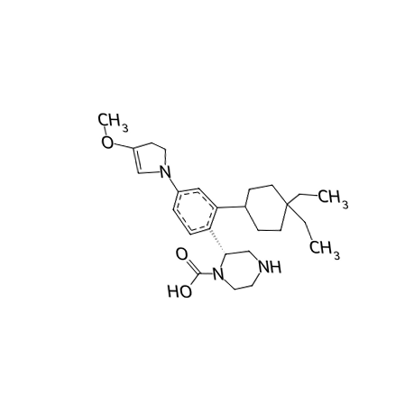 CCC1(CC)CCC(c2cc(N3C=C(OC)CC3)ccc2[C@@H]2CNCCN2C(=O)O)CC1